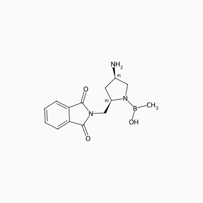 CB(O)N1C[C@H](N)C[C@@H]1CN1C(=O)c2ccccc2C1=O